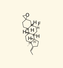 CC=C1CC[C@H]2[C@@H]3C[C@@H](F)[C@H]4CC5(CC[C@@H]4[C@H]3CC[C@]12C)CO5